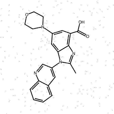 Cc1nc2c(C(=O)O)cc(N3CCOCC3)cc2n1-c1cnc2ccccc2c1